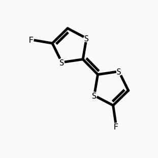 FC1=CS/C(=C2\SC=C(F)S2)S1